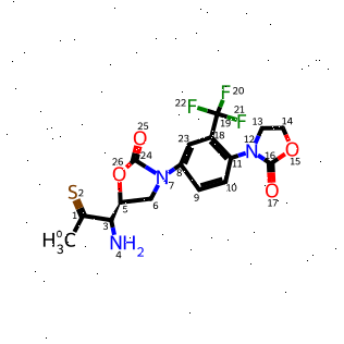 CC(=S)C(N)[C@@H]1CN(c2ccc(N3CCOC3=O)c(C(F)(F)F)c2)C(=O)O1